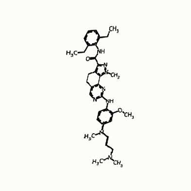 CCc1cccc(CC)c1NC(=O)c1nn(C)c2c1CCc1cnc(Nc3ccc(N(C)CCCN(C)C)cc3OC)nc1-2